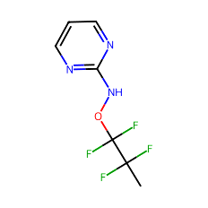 CC(F)(F)C(F)(F)ONc1ncccn1